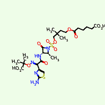 C[C@H]1[C@H](NC(=O)/C(=N/OC(C)(C)C(=O)O)c2csc(N)n2)C(=O)N1S(=O)(=O)OCC(C)(C)CCOC(=O)CCCCC(=O)O